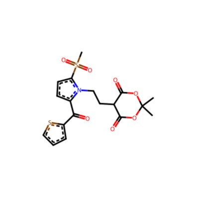 CC1(C)OC(=O)C(CCn2c(C(=O)c3cccs3)ccc2S(C)(=O)=O)C(=O)O1